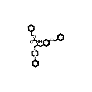 O=C(NC(Cc1ccc(OCc2ccccc2)cc1)CN1CCN(c2ccccc2)CC1)OCc1ccccc1